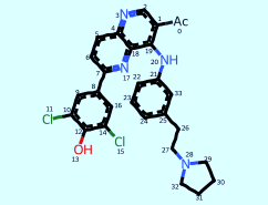 CC(=O)c1cnc2ccc(-c3cc(Cl)c(O)c(Cl)c3)nc2c1Nc1cccc(CCN2CCCC2)c1